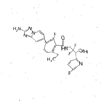 CCc1ccc(-c2ccn3nc(N)nc3c2)c(F)c1C(=O)NCC(F)(F)C(O)c1ccc(F)cn1